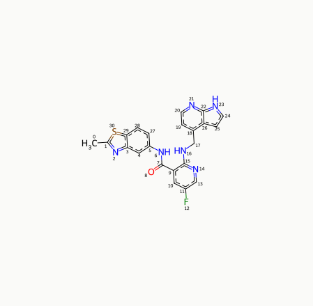 Cc1nc2cc(NC(=O)c3cc(F)cnc3NCc3ccnc4[nH]ccc34)ccc2s1